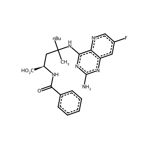 CCCCC(C)(C[C@@H](NC(=O)c1ccccc1)C(=O)O)Nc1nc(N)nc2cc(F)cnc12